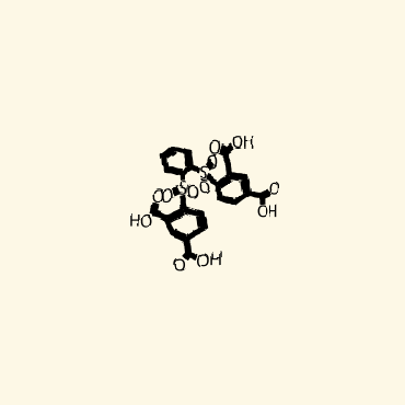 O=C(O)c1ccc(S(=O)(=O)c2ccccc2S(=O)(=O)c2ccc(C(=O)O)cc2C(=O)O)c(C(=O)O)c1